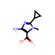 Cn1c(C2CC2)nc(N)c1C(=O)O